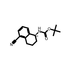 CC(C)(C)OC(=O)N[C@H]1CCCc2c(C#N)cccc21